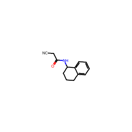 N#CCC(=O)NC1CCCc2ccccc21